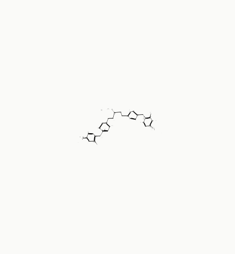 CCCCCCC(CCc1ccc(Cc2ccc(N)cc2C)cc1)CCc1ccc(Cc2ccc(N)cc2C)cc1